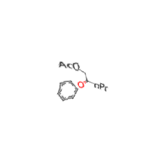 CCCC(=O)COC(C)=O.c1ccccc1